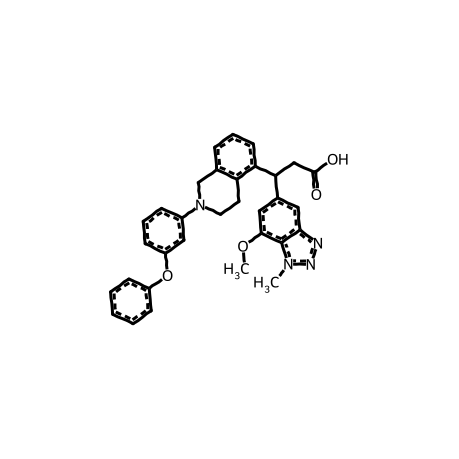 COc1cc(C(CC(=O)O)c2cccc3c2CCN(c2cccc(Oc4ccccc4)c2)C3)cc2nnn(C)c12